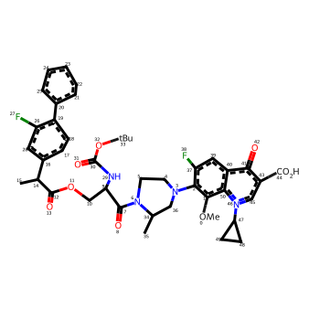 COc1c(N2CCN(C(=O)C(COC(=O)C(C)c3ccc(-c4ccccc4)c(F)c3)NC(=O)OC(C)(C)C)C(C)C2)c(F)cc2c(=O)c(C(=O)O)cn(C3CC3)c12